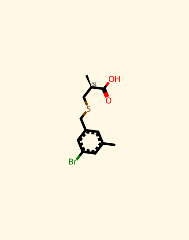 Cc1cc(Br)cc(CSC[C@@H](C)C(=O)O)c1